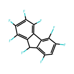 Fc1[c]c(F)c2c(c1F)-c1c(F)c(F)c(F)c(F)c1C2F